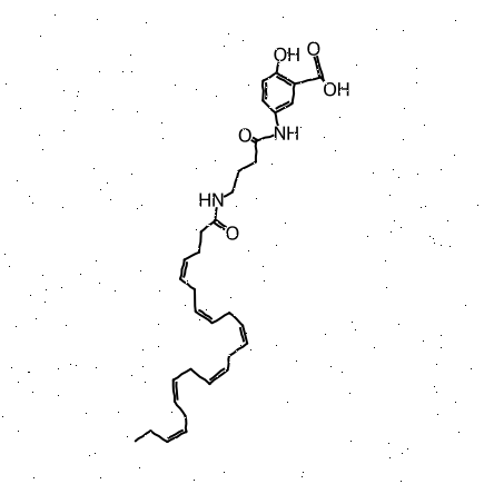 CC/C=C\C/C=C\C/C=C\C/C=C\C/C=C\C/C=C\CCC(=O)NCCCC(=O)Nc1ccc(O)c(C(=O)O)c1